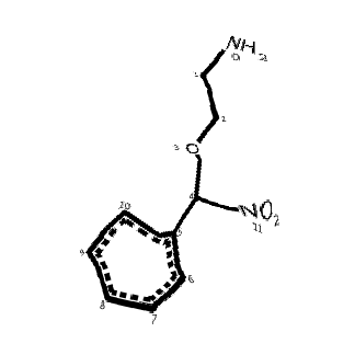 NCCOC(c1ccccc1)[N+](=O)[O-]